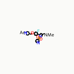 CNCc1cc(-c2ccc(OCC3CCN(C(C)=O)CC3)cc2F)n(S(=O)(=O)c2cccnc2)c1